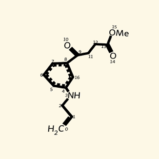 C=CCNc1cccc(C(=O)CCC(=O)OC)c1